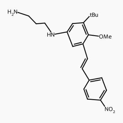 COc1c(/C=C/c2ccc([N+](=O)[O-])cc2)cc(NCCCN)cc1C(C)(C)C